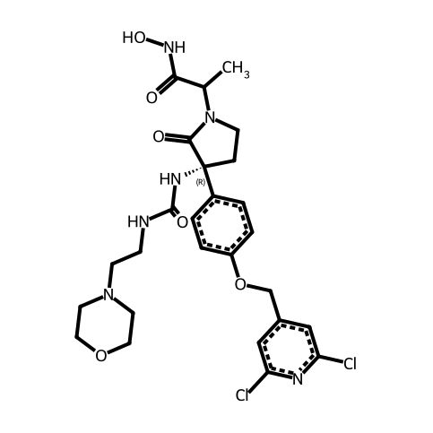 CC(C(=O)NO)N1CC[C@@](NC(=O)NCCN2CCOCC2)(c2ccc(OCc3cc(Cl)nc(Cl)c3)cc2)C1=O